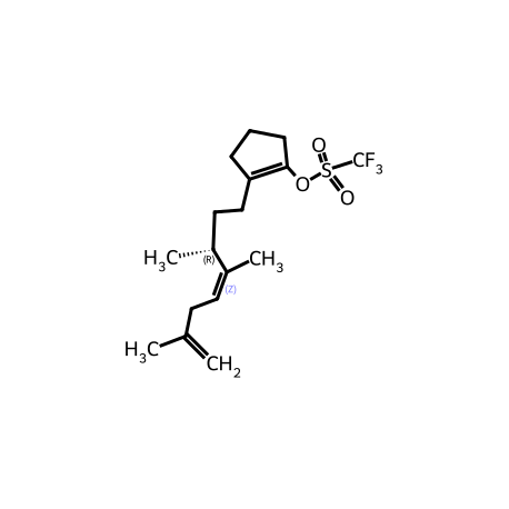 C=C(C)C/C=C(/C)[C@H](C)CCC1=C(OS(=O)(=O)C(F)(F)F)CCC1